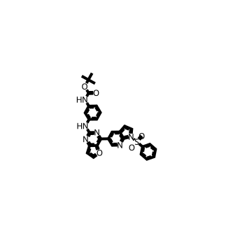 CC(C)(C)OC(=O)Nc1cccc(Nc2nc(-c3cnc4c(ccn4S(=O)(=O)c4ccccc4)c3)c3occc3n2)c1